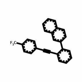 FC(F)(F)c1ccc(C#Cc2ccccc2-c2ccc3ccccc3c2)cc1